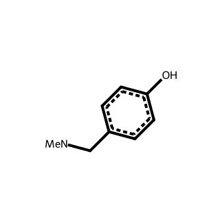 [CH2-][NH2+]Cc1ccc(O)cc1